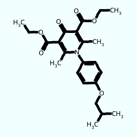 CCOC(=O)c1c(C)n(-c2ccc(OCC(C)C)cc2)c(C)c(C(=O)OCC)c1=O